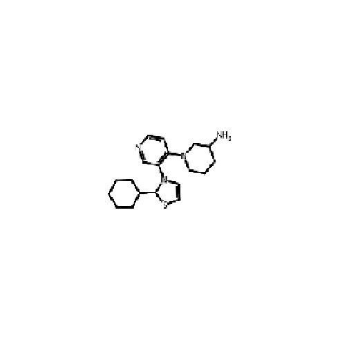 NC1CCCN(c2ccncc2N2C=CS[C@H]2C2CCCCC2)C1